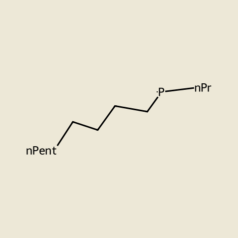 CCCCCCCCC[P]CCC